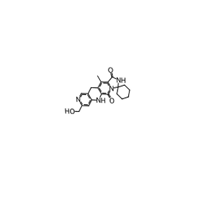 Cc1c2c(c(=O)n3c1C(=O)NC31CCCCC1)Nc1cc(CO)ncc1C2